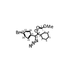 COC(=O)[C@@H]1CCCC[C@H]1C(=O)C(N=[N+]=[N-])c1ccc(Br)cc1